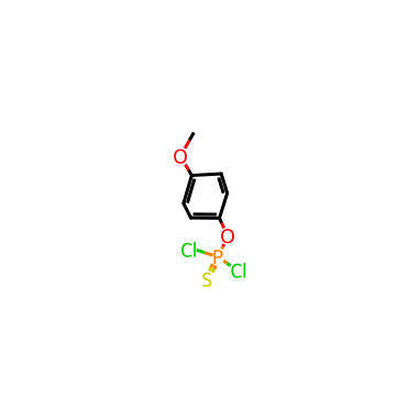 COc1ccc(OP(=S)(Cl)Cl)cc1